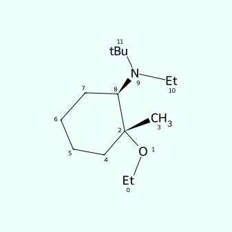 CCO[C@]1(C)CCCC[C@H]1N(CC)C(C)(C)C